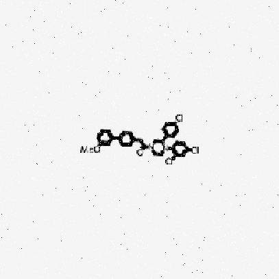 COc1cccc(-c2ccc(CC(=O)N3CCN(c4ccc(Cl)cc4Cl)C(c4ccc(Cl)cc4)C3)cc2)c1